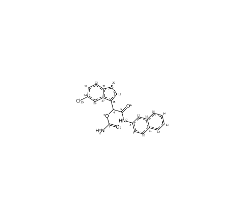 NC(=O)OC(C(=O)Nc1ccc2ccccc2c1)c1csc2ccc(Cl)cc12